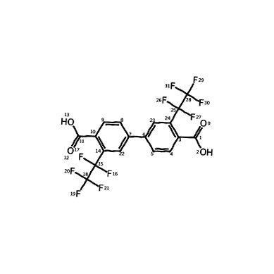 O=C(O)c1ccc(-c2ccc(C(=O)O)c(C(F)(F)C(F)(F)F)c2)cc1C(F)(F)C(F)(F)F